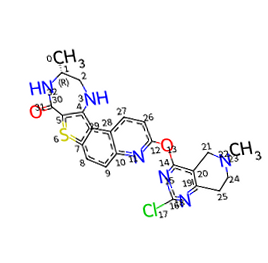 C[C@@H]1CNc2c(sc3ccc4nc(Oc5nc(Cl)nc6c5CN(C)CC6)ccc4c23)C(=O)N1